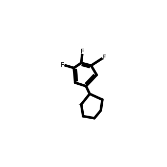 Fc1cc(C2[CH]CCCC2)cc(F)c1F